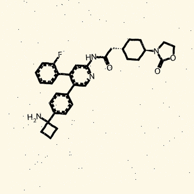 NC1(c2ccc(-c3cnc(NC(=O)C[C@H]4CC[C@H](N5CCOC5=O)CC4)cc3-c3ccccc3F)cc2)CCC1